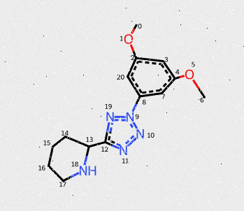 COc1cc(OC)cc(-n2nnc(C3CCCCN3)n2)c1